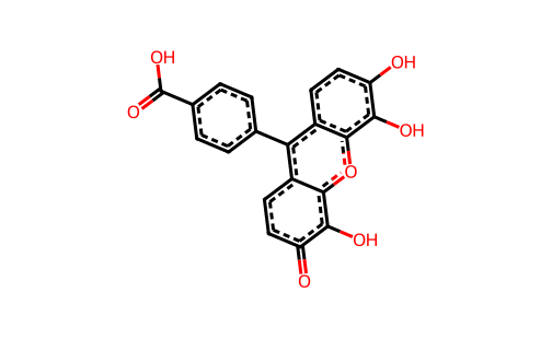 O=C(O)c1ccc(-c2c3ccc(=O)c(O)c-3oc3c(O)c(O)ccc23)cc1